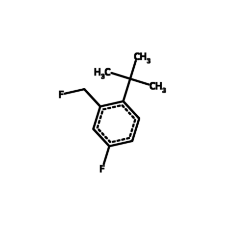 CC(C)(C)c1ccc(F)cc1CF